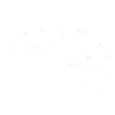 Cc1cc(F)c(N2C(=O)C3=C(CCCC3)C2=O)cc1OCC(=O)OC1CCCC1